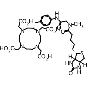 CN(CC(=O)Nc1ccc(C[C@H]2CN(CC(=O)O)CCN(CC(=O)O)CCN(CC(=O)O)CCN2CC(=O)O)cc1)C(=O)CCCC[C@@H]1SC[C@@H]2NC(=O)N[C@@H]21